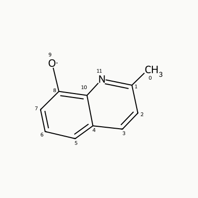 Cc1ccc2cccc([O])c2n1